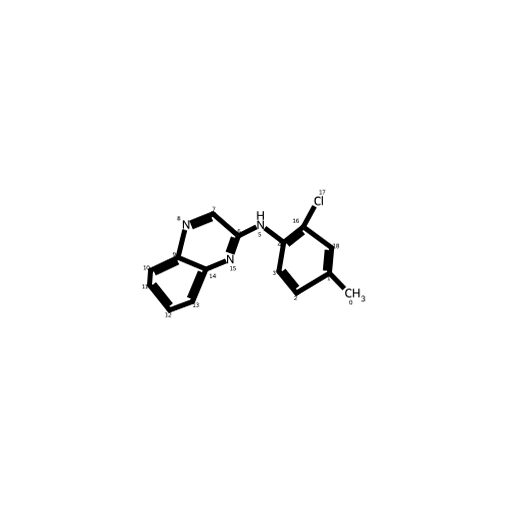 Cc1ccc(Nc2cnc3ccccc3n2)c(Cl)c1